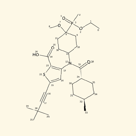 CCOP(C)(=O)C1(OC)CCC(N(c2cc(C#CC(C)(C)C)sc2C(=O)O)C(=O)[C@H]2CC[C@H](C)CC2)CC1